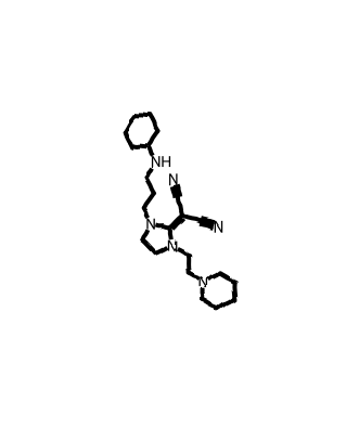 N#CC(C#N)=C1N(CCCNC2CCCCC2)CCN1CCN1CCCCC1